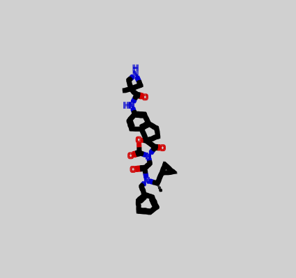 C[C@@H](C1CC1)N(Cc1ccccc1)C(=O)CN1C(=O)OC2(CCc3cc(NC(=O)C4(C)CNC4)ccc32)C1=O